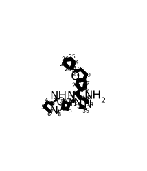 NC(=O)[C@@H]1CCCN1C[C@H]1C[C@@H](c2nc(-c3ccc4c(c3)O[C@@H](c3ccccc3)CC4)c3c(N)nccn32)C1